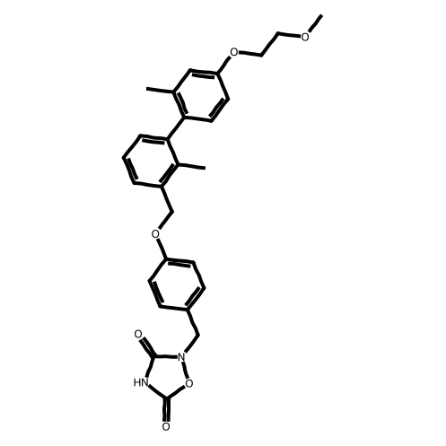 COCCOc1ccc(-c2cccc(COc3ccc(Cn4oc(=O)[nH]c4=O)cc3)c2C)c(C)c1